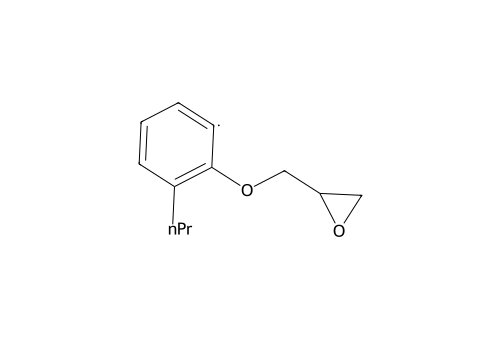 CCCc1ccc[c]c1OCC1CO1